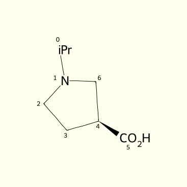 CC(C)N1CC[C@H](C(=O)O)C1